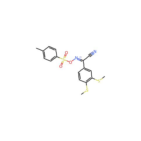 CSc1ccc(/C(C#N)=N\OS(=O)(=O)c2ccc(C)cc2)cc1SC